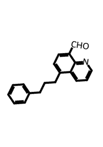 O=Cc1ccc(CCCc2ccccc2)c2cccnc12